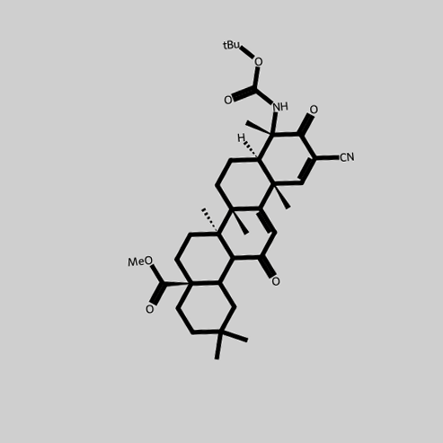 COC(=O)[C@]12CCC(C)(C)CC1C1C(=O)C=C3[C@@]4(C)C=C(C#N)C(=O)[C@@](C)(NC(=O)OC(C)(C)C)[C@@H]4CC[C@@]3(C)[C@]1(C)CC2